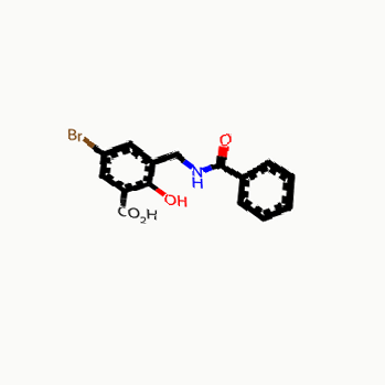 O=C(NCc1cc(Br)cc(C(=O)O)c1O)c1ccccc1